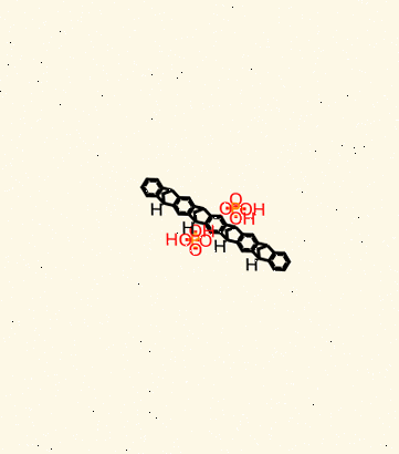 O=P(O)(O)Oc1c2c(c(OP(=O)(O)O)c3c1C1C[C@H]3c3cc4c(cc31)C1C[C@H]4c3ccccc31)[C@@H]1CC2c2cc3c(cc21)[C@@H]1CC3c2ccccc21